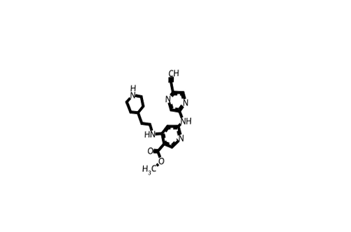 C#Cc1cnc(Nc2cc(NCCC3CCNCC3)c(C(=O)OC)cn2)cn1